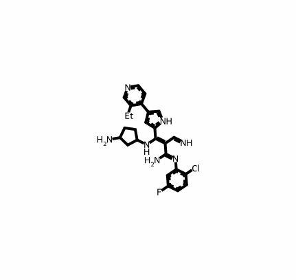 CCc1cnccc1-c1c[nH]c(/C(NC2CCC(N)C2)=C(C=N)/C(N)=N/c2cc(F)ccc2Cl)c1